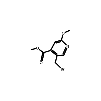 COC(=O)c1cc(OC)ncc1CBr